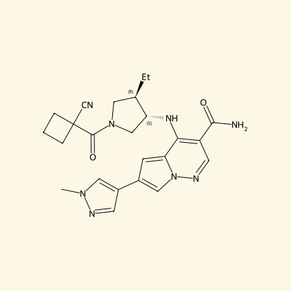 CC[C@@H]1CN(C(=O)C2(C#N)CCC2)C[C@H]1Nc1c(C(N)=O)cnn2cc(-c3cnn(C)c3)cc12